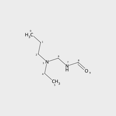 CCCN(CC)CN[C]=O